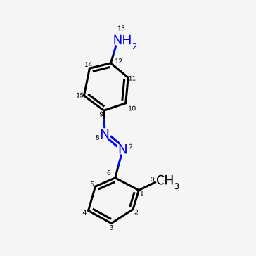 Cc1ccccc1/N=N/c1ccc(N)cc1